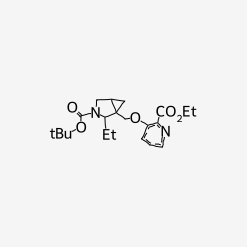 CCOC(=O)c1ncccc1OCC12CC1CN(C(=O)OC(C)(C)C)C2CC